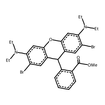 CCN(CC)c1cc2c(cc1Br)C(c1ccccc1C(=O)OC)c1cc(Br)c(N(CC)CC)cc1O2